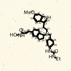 CCNC(=O)Nc1ccc(CN(CCc2c[nH]c3cc(OC)ccc23)C2CCc3cc(C=CC(=O)NO)ccc32)cc1